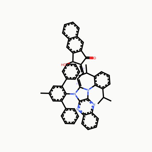 Cc1cc(-c2ccccc2)c(N2/C(=C/C=C3/C(=O)c4cc5ccccc5cc4C3O)N(c3c(C(C)C)cccc3C(C)C)c3nc4ccccc4nc32)c(-c2ccccc2)c1